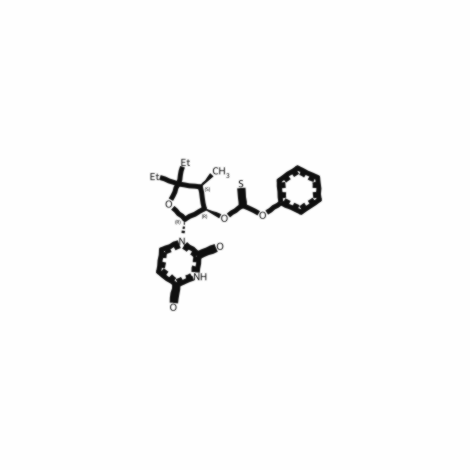 CCC1(CC)O[C@@H](n2ccc(=O)[nH]c2=O)[C@H](OC(=S)Oc2ccccc2)[C@@H]1C